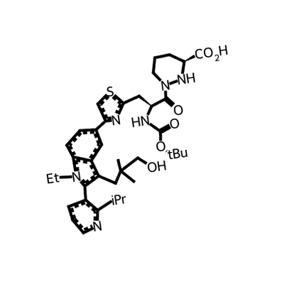 CCn1c(-c2cccnc2C(C)C)c(CC(C)(C)CO)c2cc(-c3csc(C[C@H](NC(=O)OC(C)(C)C)C(=O)N4CCC[C@@H](C(=O)O)N4)n3)ccc21